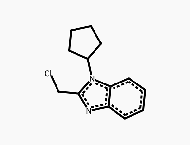 ClCc1nc2ccccc2n1C1CCCC1